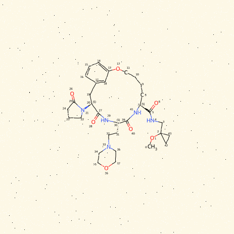 COC1(CNC(=O)[C@@H]2CCCCOc3cccc(c3)C[C@H](N3CCCC3=O)C(=O)N[C@@H](CCN3CCOCC3)C(=O)N2)CC1